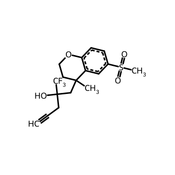 C#CCC(O)(CC1(C)CCOc2ccc(S(C)(=O)=O)cc21)C(F)(F)F